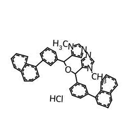 Cl.Cn1cncc1C(OC(c1cccc(-c2cccc3ccccc23)c1)c1cncn1C)c1cccc(-c2cccc3ccccc23)c1